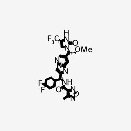 COC[C@H](c1cnn2cc([C@@H](NC(=O)c3nonc3C)C3CCC(F)(F)CC3)nc2c1)N1C[C@@H](C(F)(F)F)NC1=O